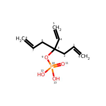 C=CCC(C=C)(CC=C)OP(=O)(O)O